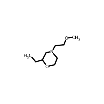 CCC1CN(CCOC)CCO1